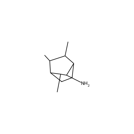 CC1C(C)C2CCC1C(C)C2N